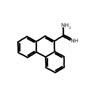 N=C(N)c1cc2ccccc2c2ccccc12